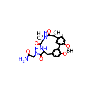 CC1C(=O)N[C@@H](C)C(=O)NC(C(=O)NCC(N)=O)Cc2ccc3c(c2)-c2cc1ccc2OBO3